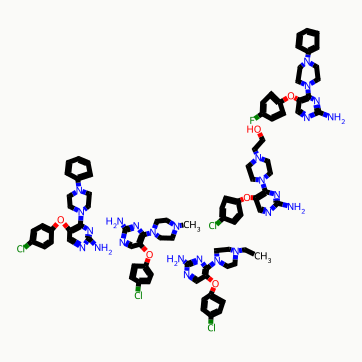 CCN1CCN(c2nc(N)ncc2Oc2ccc(Cl)cc2)CC1.CN1CCN(c2nc(N)ncc2Oc2ccc(Cl)cc2)CC1.Nc1ncc(Oc2ccc(Cl)cc2)c(N2CCN(CCO)CC2)n1.Nc1ncc(Oc2ccc(Cl)cc2)c(N2CCN(c3ccccc3)CC2)n1.Nc1ncc(Oc2ccc(F)cc2)c(N2CCN(c3ccccc3)CC2)n1